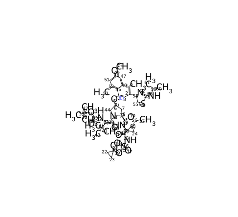 CC=C(/C=C(/O[C@@H]1C[C@@H](C(=O)N[C@]2(C(=O)NS(=O)(=O)OC3(C)CC3)C[C@H]2CC)N(C(=O)[C@@H](NC(=O)OC(C)(C)C)C(C)(C)C)C1)c1ccc(OC)cc1C)C1CSC(NC(C)C)=N1